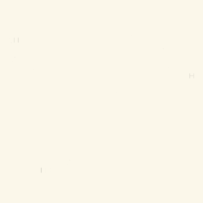 COc1ccc(C(OCCC(=O)O)(c2ccccc2)c2ccc(OC)cc2)cc1